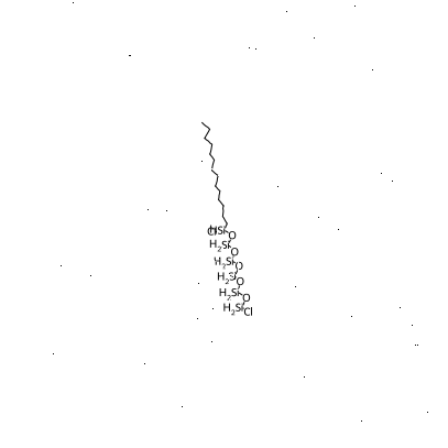 CCCCCCCCCCCCCC[SiH](Cl)O[SiH2]O[SiH2]O[SiH2]O[SiH2]O[SiH2]Cl